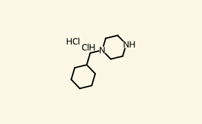 C1CCC(CN2CCNCC2)CC1.Cl.Cl